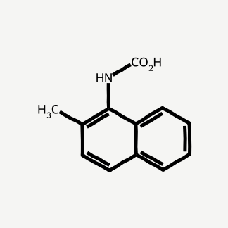 Cc1ccc2ccccc2c1NC(=O)O